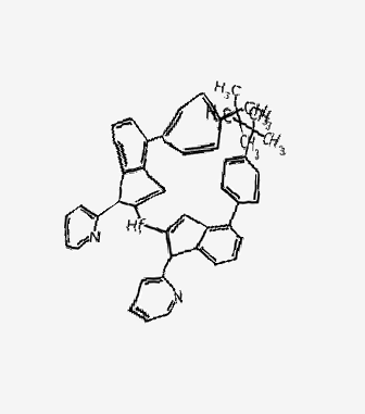 CC(C)(C)c1ccc(-c2cccc3c2C=[C]([Hf][C]2=Cc4c(-c5ccc(C(C)(C)C)cc5)cccc4C2c2ccccn2)C3c2ccccn2)cc1